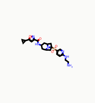 NCCNc1ccc(S(=O)(=O)C23CC4CC(NC(=O)c5cc(C6CC6)on5)CC(C2)N43)cn1